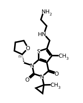 Cc1c(CNCCN)sc2c1c(=O)n(C1(C)CC1)c(=O)n2C[C@@H]1CCCO1